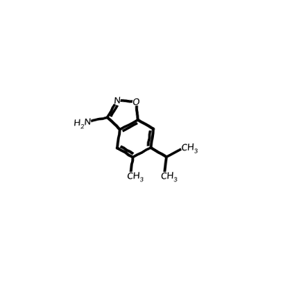 Cc1cc2c(N)noc2cc1C(C)C